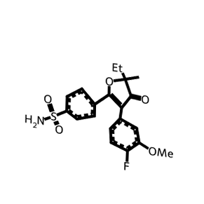 CCC1(C)OC(c2ccc(S(N)(=O)=O)cc2)=C(c2ccc(F)c(OC)c2)C1=O